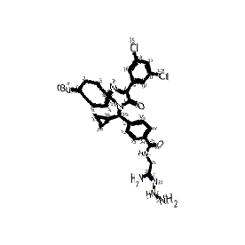 CC(C)(C)C1CCC2(CC1)N=C(c1cc(Cl)cc(Cl)c1)C(=O)N2C(c1ccc(C(=O)NC/C(N)=N/NN)cc1)C1CC1